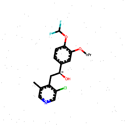 CCCOc1cc([C@@H](O)Cc2c(C)cncc2Cl)ccc1OC(F)F